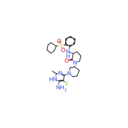 CC1N=C(N2CCC[C@@H](N3CCCC(Nc4ccccc4S(=O)(=O)C4CCCCC4)C3=O)C2)C(F)=C(N)N1